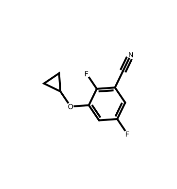 N#Cc1cc(F)cc(OC2CC2)c1F